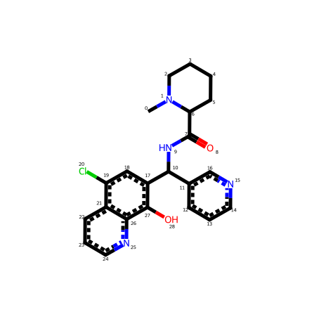 CN1CCCCC1C(=O)NC(c1cccnc1)c1cc(Cl)c2cccnc2c1O